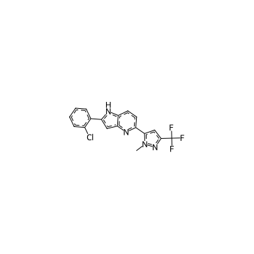 Cn1nc(C(F)(F)F)cc1-c1ccc2[nH]c(-c3ccccc3Cl)cc2n1